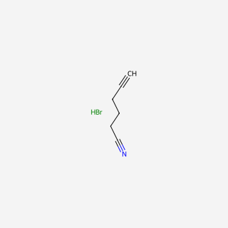 Br.C#CCCCC#N